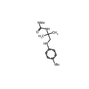 CNC(=O)NC(C)(C)CNc1ccc(C(C)(C)C)cc1